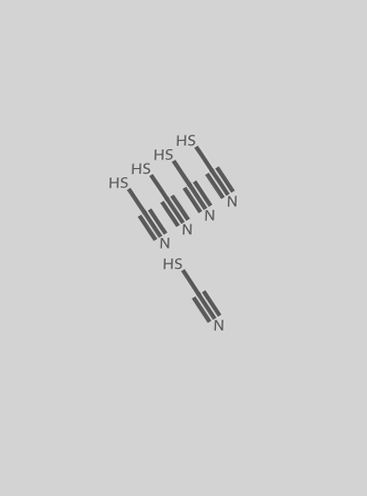 N#CS.N#CS.N#CS.N#CS.N#CS